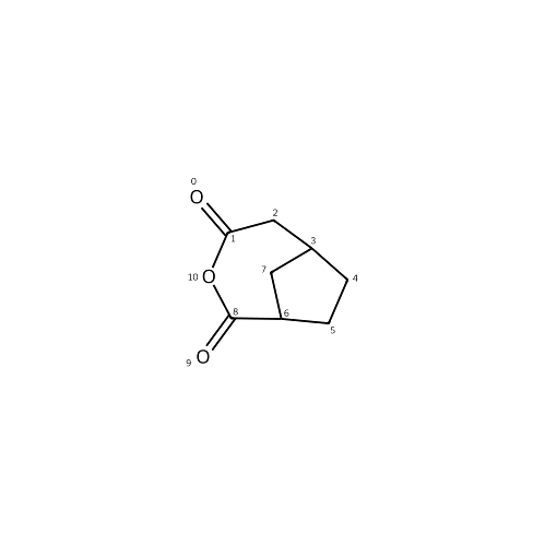 O=C1CC2CCC(C2)C(=O)O1